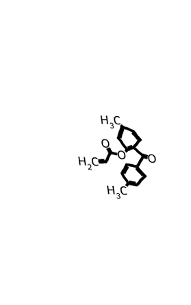 C=CC(=O)Oc1cc(C)ccc1C(=O)c1ccc(C)cc1